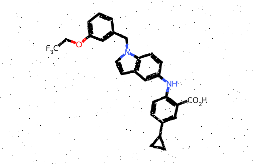 O=C(O)c1cc(C2CC2)ccc1Nc1ccc2c(ccn2Cc2cccc(OCC(F)(F)F)c2)c1